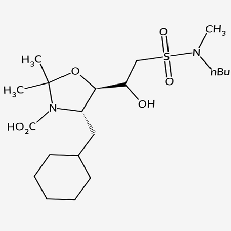 CCCCN(C)S(=O)(=O)CC(O)[C@@H]1OC(C)(C)N(C(=O)O)[C@H]1CC1CCCCC1